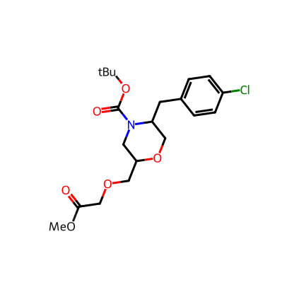 COC(=O)COCC1CN(C(=O)OC(C)(C)C)C(Cc2ccc(Cl)cc2)CO1